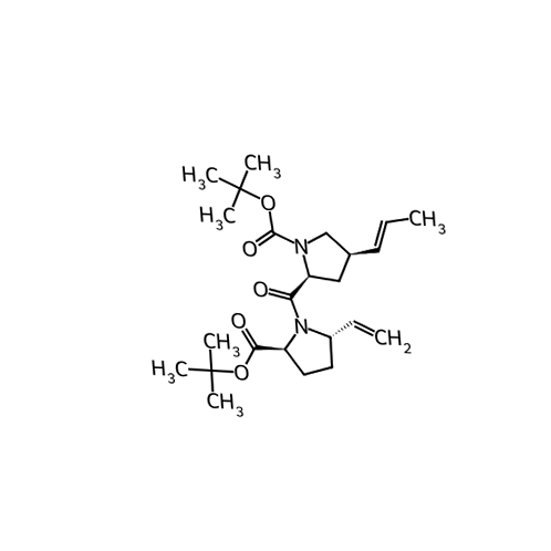 C=C[C@@H]1CC[C@@H](C(=O)OC(C)(C)C)N1C(=O)[C@@H]1C[C@H](C=CC)CN1C(=O)OC(C)(C)C